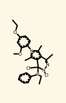 CCOc1ccc(-n2c(C)c3c(c2C)C(Cl)(N(CC)c2ccccc2)N(Cl)N=C3C)c(OC)c1